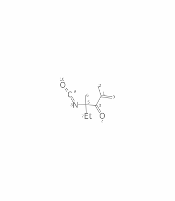 C=C(C)C(=O)C(C)(CC)N=C=O